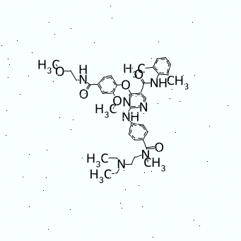 CCN(CC)CCN(C)C(=O)c1ccc(Nc2ncc(C(=O)Nc3c(C)cccc3C)c(Oc3ccc(C(=O)NCCOC)cc3OC)n2)cc1